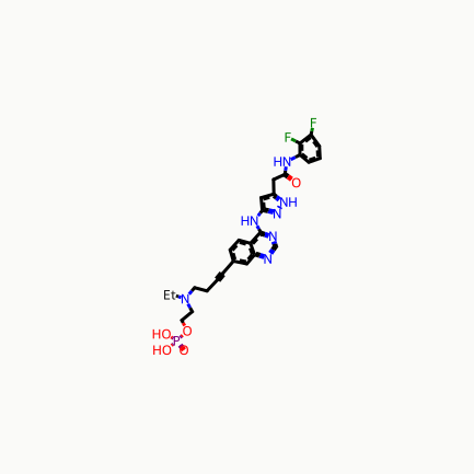 CCN(CCC#Cc1ccc2c(Nc3cc(CC(=O)Nc4cccc(F)c4F)[nH]n3)ncnc2c1)CCOP(=O)(O)O